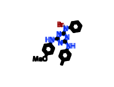 COc1ccc(Nc2nc(Nc3ccc(C)cc3)nc(N(Br)c3ccccc3)n2)cc1